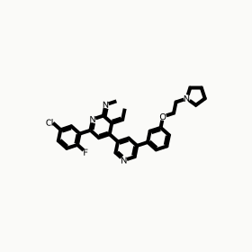 C/C=C1/C(c2cncc(-c3cccc(OCCN4CCCC4)c3)c2)=CC(c2cc(Cl)ccc2F)=N/C1=N/C